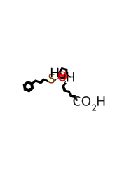 O=C(O)CCC/C=C\C[C@@H]1[C@H](CSC/C=C/Cc2ccccc2)[C@@H]2CC[C@H]1O2